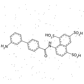 Nc1cccc(-c2ccc(C(=O)Nc3ccc(S(=O)(=O)O)c4cc(S(=O)(=O)O)cc(S(=O)(=O)O)c34)cc2)c1